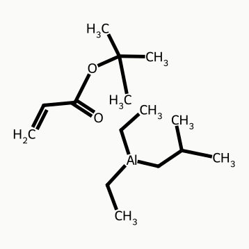 C=CC(=O)OC(C)(C)C.C[CH2][Al]([CH2]C)[CH2]C(C)C